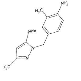 CSc1cc(C(F)(F)F)nn1Cc1ccc(N)c(C)c1